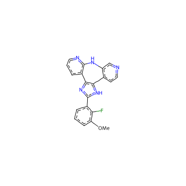 COc1cccc(-c2nc3c([nH]2)-c2ccncc2Nc2ncccc2-3)c1F